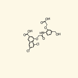 O=C(O)COc1cc(CO)ccc1NC(=O)COc1cc(C(=O)O)cc2cc(Cl)cc(Cl)c12